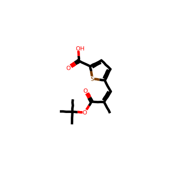 CC(=Cc1ccc(C(=O)O)s1)C(=O)OC(C)(C)C